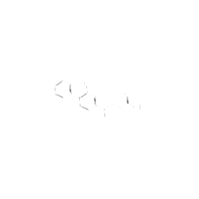 CC(CCC(=O)O)c1ccc(-c2ccccc2)c(Cl)c1